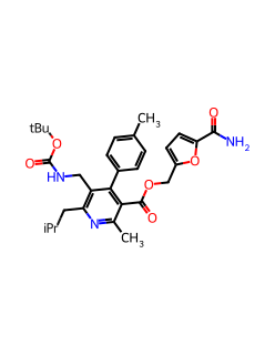 Cc1ccc(-c2c(CNC(=O)OC(C)(C)C)c(CC(C)C)nc(C)c2C(=O)OCc2ccc(C(N)=O)o2)cc1